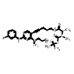 CCCN(C)c1nc(Nc2cccc(F)c2)ncc1C#CCCCNC(=O)[C@H](C)N(C)C(=O)OC(C)(C)C